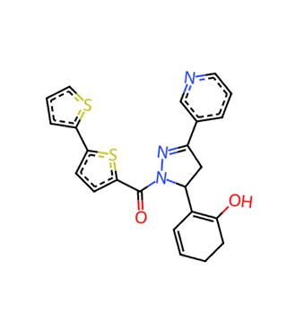 O=C(c1ccc(-c2cccs2)s1)N1N=C(c2cccnc2)CC1C1=C(O)CCC=C1